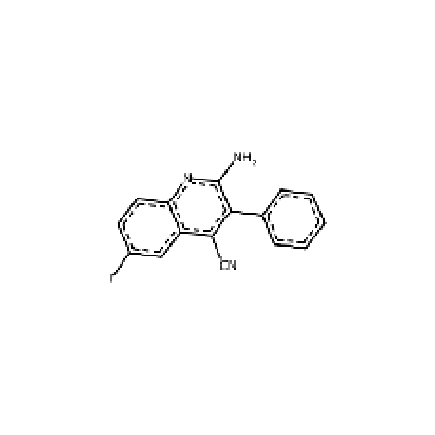 N#Cc1c(-c2ccccc2)c(N)nc2ccc(I)cc12